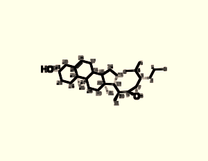 CCC[C@@H](C(C)C)[C@@H]1O[C@H]1[C@@H](C)[C@H]1CCC2C3CC=C4C[C@@H](O)CC[C@]4(C)C3CC[C@@]21C